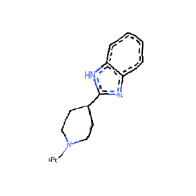 CC(C)N1CCC(c2nc3ccccc3[nH]2)CC1